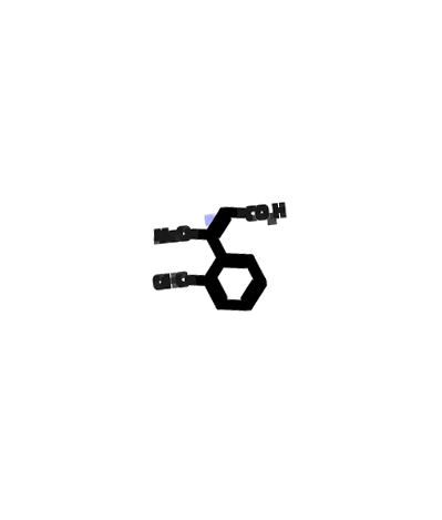 CO/C(=C/C(=O)O)c1ccccc1C=O